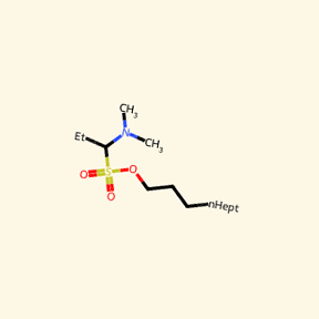 CCCCCCCCCCOS(=O)(=O)C(CC)N(C)C